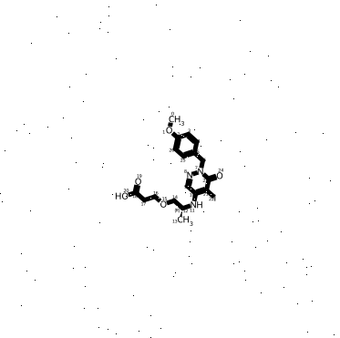 COc1ccc(Cn2ncc(N[C@H](C)COCCC(=O)O)c(I)c2=O)cc1